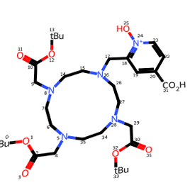 CC(C)(C)OC(=O)CN1CCN(CC(=O)OC(C)(C)C)CCN(Cc2cc(C(=O)O)cc[n+]2O)CCN(CC(=O)OC(C)(C)C)CC1